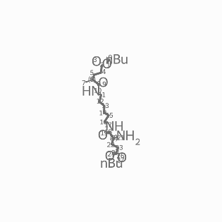 CCCCOC(=O)CC[C@H](C)C(=O)NCCCCCCNC(=O)[C@@H](N)CCC(=O)OCCCC